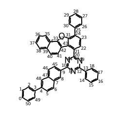 c1ccc(-c2ccc3cc(-c4nc(-c5ccccc5)nc(-c5ccc(-c6ccccc6)c6oc7c8ccccc8ccc7c56)n4)ccc3c2)cc1